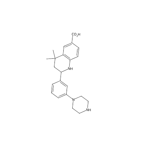 CC1(C)CC(c2cccc(N3CCNCC3)c2)Nc2ccc(C(=O)O)cc21